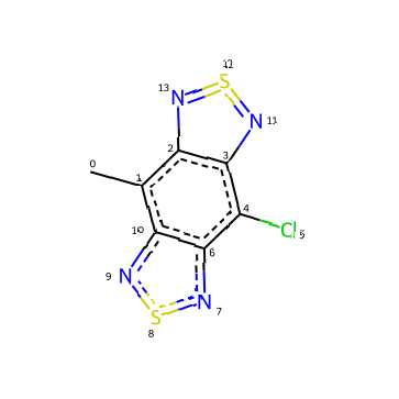 Cc1c2c(c(Cl)c3nsnc13)N=S=N2